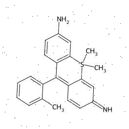 Cc1ccccc1C1=C2C=CC(=N)C=C2S(C)(C)c2cc(N)ccc21